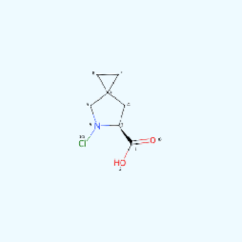 O=C(O)[C@@H]1CC2(CC2)CN1Cl